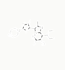 CCC(CC)c1c(Cl)c(C)nn2c(-c3sc(N4CCOCC4)nc3C)c(C)nc12